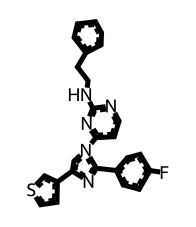 Fc1ccc(-c2nc(-c3ccsc3)cn2-c2ccnc(NCCc3ccccc3)n2)cc1